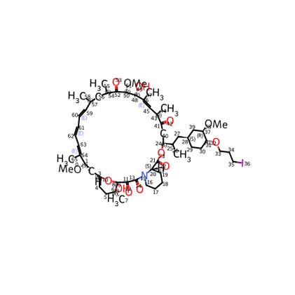 CO[C@H]1C[C@@H]2CC[C@@H](C)[C@@](O)(O2)C(=O)C(=O)N2CCCC[C@H]2C(=O)O[C@H](C(C)C[C@@H]2CC[C@@H](OCCCI)[C@H](OC)C2)CC(=O)[C@H](C)/C=C(\C)[C@@H](O)[C@@H](OC)C(=O)[C@H](C)C[C@H](C)/C=C/C=C/C=C/1C